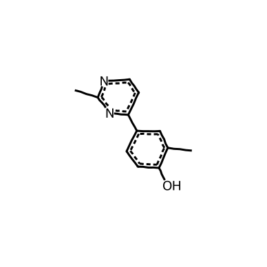 Cc1nccc(-c2ccc(O)c(C)c2)n1